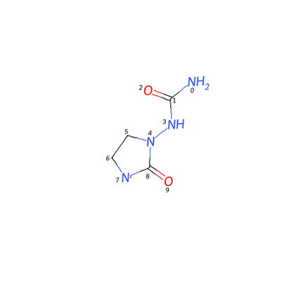 NC(=O)NN1CC[N]C1=O